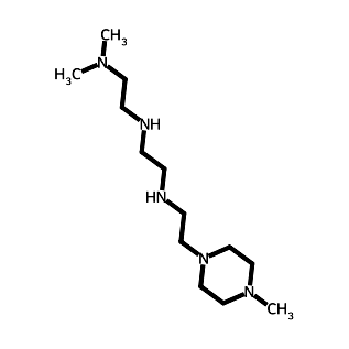 CN(C)CCNCCNCCN1CCN(C)CC1